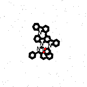 c1ccc(-c2nc(-n3c4cccc5c4c4c(cc6c7ccccc7n(-c7ccccc7)c6c43)c3cccc4c6ccccc6n5c34)nc3c2ccc2ccccc23)cc1